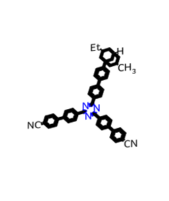 CC[C@H]1C[C@H]2C[C@@H](C)CC(c3ccc(-c4ccc(-c5nc(-c6ccc(-c7ccc(C#N)cc7)cc6)nc(-c6ccc(-c7ccc(C#N)cc7)cc6)n5)cc4)cc3)(C2)C1